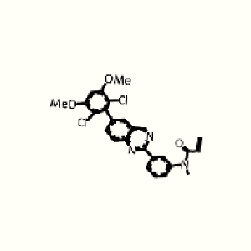 C=CC(=O)N(C)c1cccc(-c2ncc3cc(-c4c(Cl)c(OC)cc(OC)c4Cl)ccc3n2)c1